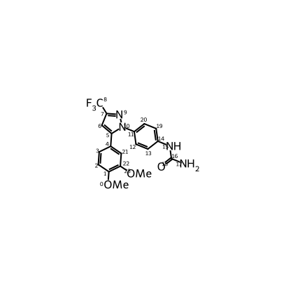 COc1ccc(-c2cc(C(F)(F)F)nn2-c2ccc(NC(N)=O)cc2)cc1OC